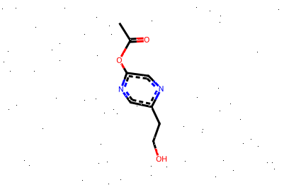 CC(=O)Oc1cnc(CCO)cn1